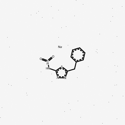 O=[SH](=O)Nc1nnc(Cc2ccccc2)s1.[Na]